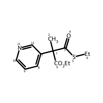 CCOC(=O)C(C)(C(=O)SCC)c1cccnc1